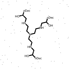 CCCCCCCCCCC(O)CNCCN(CCNCC(O)CCCCCCCCCC)CCNCC(O)CCCCCCCCCC